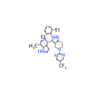 CCc1cccc(CC)c1-n1nc2c(c1-c1ncc(C)c3[nH]ccc13)CN(c1ncc(C(F)(F)F)cn1)CC2